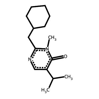 CC(C)c1cnc(CC2CCCCC2)n(C)c1=O